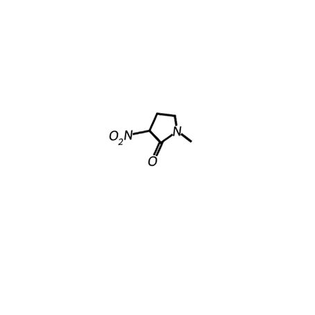 CN1CCC([N+](=O)[O-])C1=O